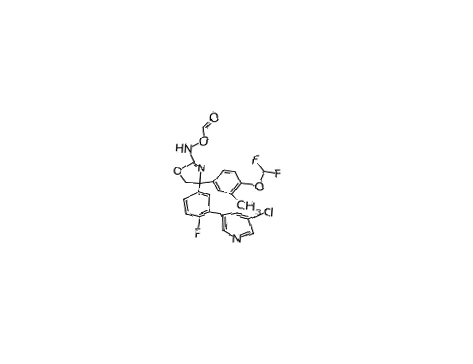 Cc1cc(C2(c3ccc(F)c(-c4cncc(Cl)c4)c3)COC(NOC=O)=N2)ccc1OC(F)F